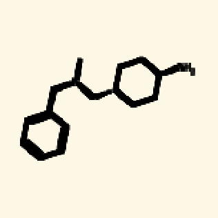 CN(Cc1ccccc1)C[C@H]1CC[C@H](N)CC1